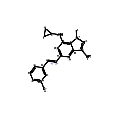 CCCc1nn(C)c2c(NC3CC3)nc(/C=C/c3ccc[n+]([O-])c3)nc12